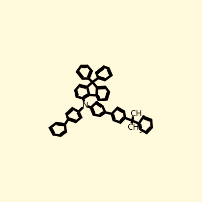 CC(C)(c1ccccc1)c1ccc(-c2ccc(N(c3ccc(-c4ccccc4)cc3)c3cccc4c3-c3ccccc3C4(c3ccccc3)c3ccccc3)cc2)cc1